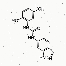 O=C(Nc1ccc2cn[nH]c2c1)Nc1cc(O)ccc1O